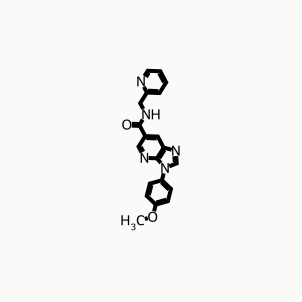 COc1ccc(-n2cnc3cc(C(=O)NCc4ccccn4)cnc32)cc1